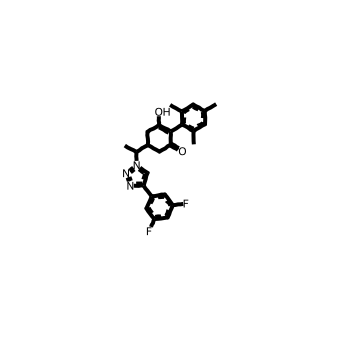 Cc1cc(C)c(C2=C(O)CC(C(C)n3cc(-c4cc(F)cc(F)c4)nn3)CC2=O)c(C)c1